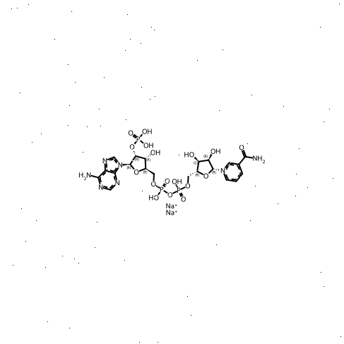 NC(=O)c1ccc[n+]([C@@H]2O[C@H](COP(=O)(O)OP(=O)(O)OC[C@H]3O[C@@H](n4cnc5c(N)ncnc54)[C@H](OP(=O)(O)O)[C@@H]3O)[C@@H](O)[C@H]2O)c1.[Na+].[Na+]